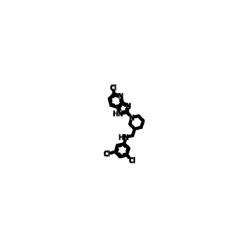 Clc1cc(Cl)cc(NCC2CCCN(c3nc4nc(Cl)ccc4[nH]3)C2)c1